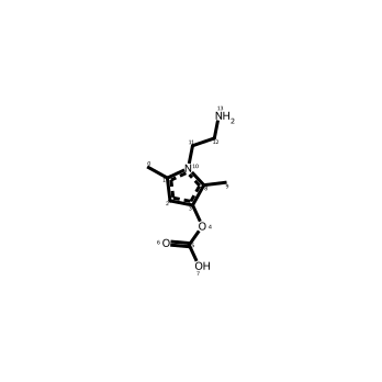 Cc1cc(OC(=O)O)c(C)n1CCN